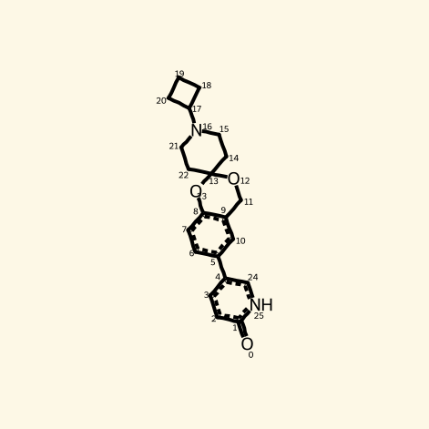 O=c1ccc(-c2ccc3c(c2)COC2(CCN(C4CCC4)CC2)O3)c[nH]1